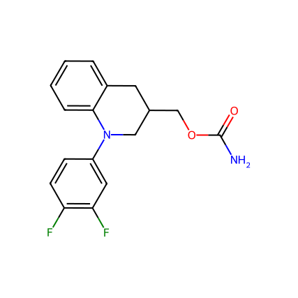 NC(=O)OCC1Cc2ccccc2N(c2ccc(F)c(F)c2)C1